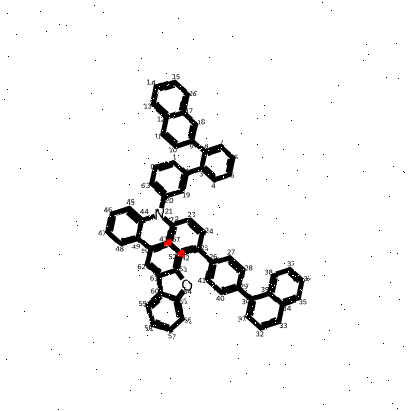 c1cc(-c2ccccc2-c2ccc3ccccc3c2)cc(N(c2ccc(-c3ccc(-c4cccc5ccccc45)cc3)cc2)c2ccccc2-c2ccc3oc4ccccc4c3c2)c1